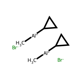 [Br-].[Br-].[CH3][Al+][CH]1CC1.[CH3][Al+][CH]1CC1